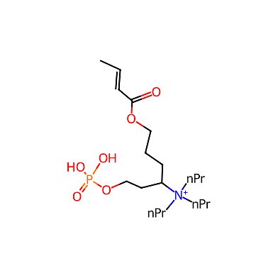 CC=CC(=O)OCCCC(CCOP(=O)(O)O)[N+](CCC)(CCC)CCC